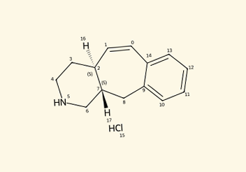 C1=C[C@@H]2CCNC[C@H]2Cc2ccccc21.Cl